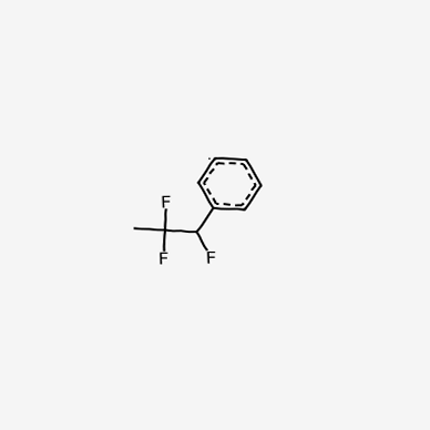 CC(F)(F)C(F)c1c[c]ccc1